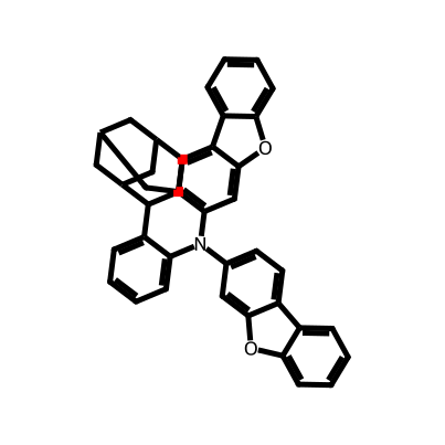 c1ccc(N(c2ccc3c(c2)oc2ccccc23)c2ccc3c(c2)oc2ccccc23)c(C2C3CC4CC(C3)CC2C4)c1